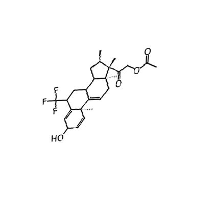 CC(=O)OCC(=O)[C@@]1(C)[C@H](C)CC2C3CC(C(F)(F)F)C4=CC(O)C=C[C@]4(C)C3=CC[C@@]21C